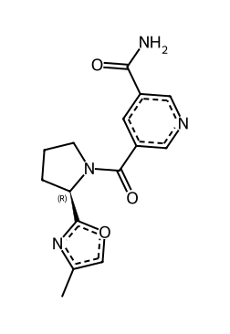 Cc1coc([C@H]2CCCN2C(=O)c2cncc(C(N)=O)c2)n1